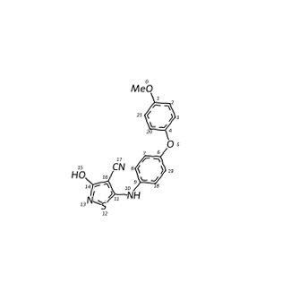 COc1ccc(Oc2ccc(Nc3snc(O)c3C#N)cc2)cc1